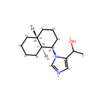 CC(O)c1cncn1[C@@H]1CCC[C@H]2CCCC[C@@H]21